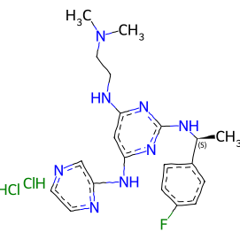 C[C@H](Nc1nc(NCCN(C)C)cc(Nc2cnccn2)n1)c1ccc(F)cc1.Cl.Cl